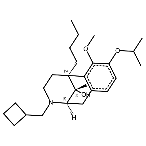 CCCC[C@]12CCN(CC3CCC3)[C@H](Cc3ccc(OC(C)C)c(OC)c31)[C@@]2(C)O